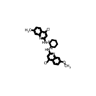 COc1ccc2c(Cl)cc(N[C@@H]3CCCC[C@H]3Nc3cc(Cl)c4ccc(C)cc4n3)nc2c1